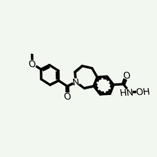 COC1=CC=C(C(=O)N2CCCc3cc(C(=O)NO)ccc3C2)CC1